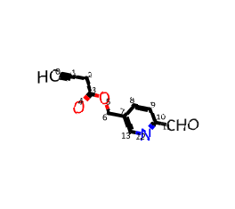 C#CCC(=O)OCc1ccc(C=O)nc1